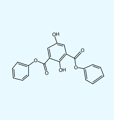 O=C(Oc1ccccc1)c1cc(O)cc(C(=O)Oc2ccccc2)c1O